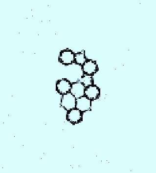 c1cc2c3c(c1)Sc1ccc4c5ccc6oc7ccccc7c6c5n5c4c1B3c1c(cccc1-5)S2